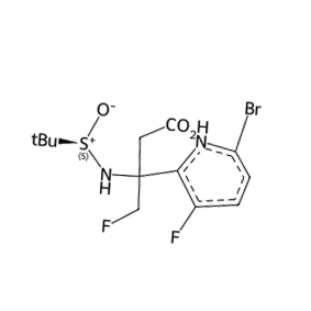 CC(C)(C)[S@@+]([O-])NC(CF)(CC(=O)O)c1nc(Br)ccc1F